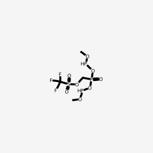 COPOP(=O)(COS(=O)(=O)C(F)(F)F)OPOC